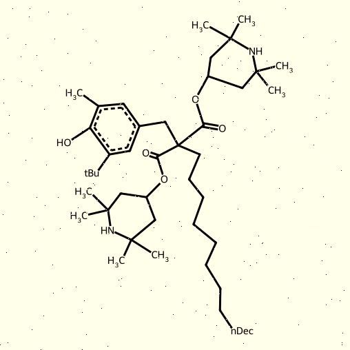 CCCCCCCCCCCCCCCCCCC(Cc1cc(C)c(O)c(C(C)(C)C)c1)(C(=O)OC1CC(C)(C)NC(C)(C)C1)C(=O)OC1CC(C)(C)NC(C)(C)C1